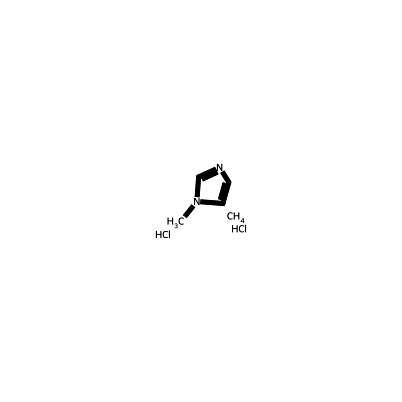 C.Cl.Cl.Cn1ccnc1